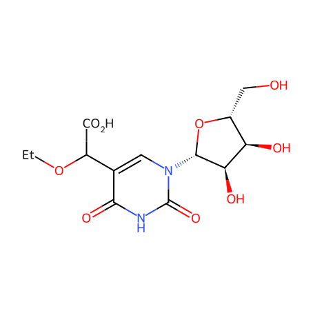 CCOC(C(=O)O)c1cn([C@@H]2O[C@H](CO)[C@@H](O)[C@H]2O)c(=O)[nH]c1=O